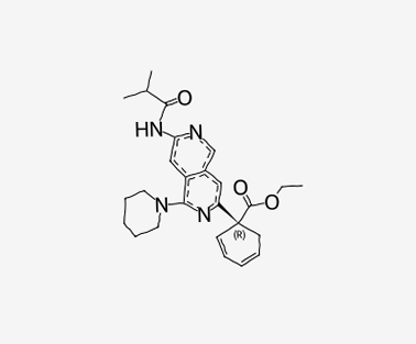 CCOC(=O)[C@@]1(c2cc3cnc(NC(=O)C(C)C)cc3c(N3CCCCC3)n2)C=CC=CC1